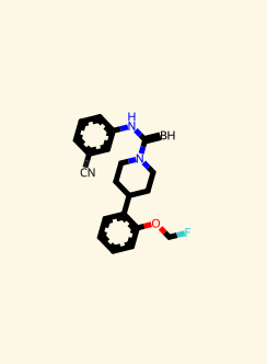 B=C(Nc1cccc(C#N)c1)N1CCC(c2ccccc2OCF)CC1